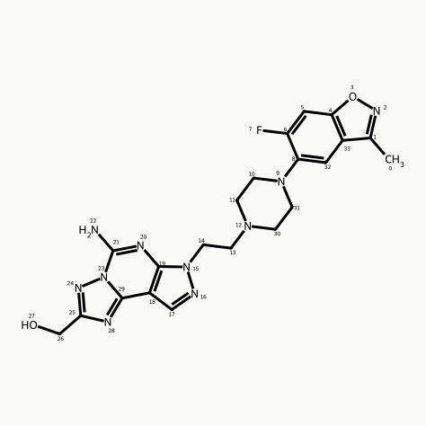 Cc1noc2cc(F)c(N3CCN(CCn4ncc5c4nc(N)n4nc(CO)nc54)CC3)cc12